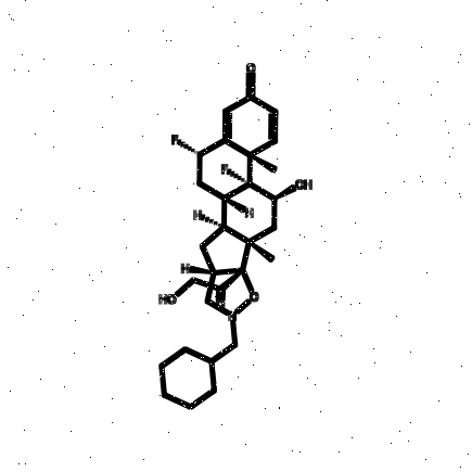 C[C@]12C=CC(=O)C=C1[C@@H](F)C[C@H]1[C@@H]3C[C@H]4CN(CC5CCCCC5)O[C@@]4(C(=O)CO)[C@@]3(C)C[C@H](O)[C@@]12F